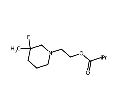 CC(C)C(=O)OCCN1CCCC(C)(F)C1